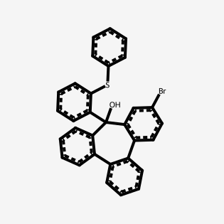 OC1(c2ccccc2Sc2ccccc2)c2ccccc2-c2ccccc2-c2ccc(Br)cc21